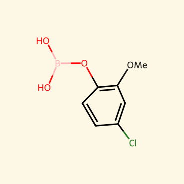 COc1cc(Cl)ccc1OB(O)O